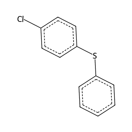 Clc1ccc(Sc2ccccc2)cc1